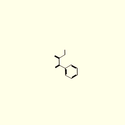 C=C(CC(F)(F)F)C(=O)c1[c]cccc1